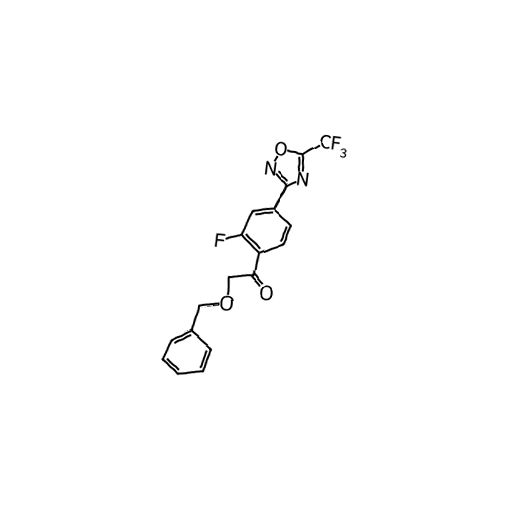 O=C(COCc1ccccc1)c1ccc(-c2noc(C(F)(F)F)n2)cc1F